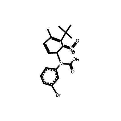 CC1=C(C(C)(C)C)C(=S(=O)=O)C(N(C(=O)O)c2cccc(Br)c2)C=C1